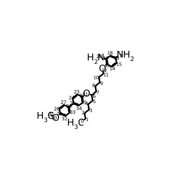 CCCCCCC(CCCCCOc1ccc(N)cc1N)Oc1ccc(-c2ccc(OC)cc2)cc1